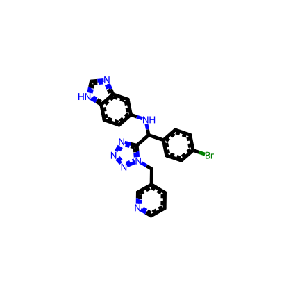 Brc1ccc(C(Nc2ccc3[nH]cnc3c2)c2nnnn2Cc2cccnc2)cc1